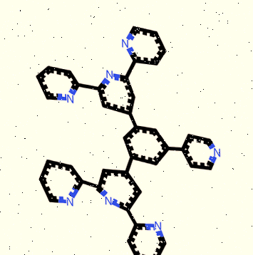 c1ccc(-c2cc(-c3cc(-c4ccncc4)cc(-c4cc(-c5ccccn5)nc(-c5ccccn5)c4)c3)cc(-c3ccccn3)n2)nc1